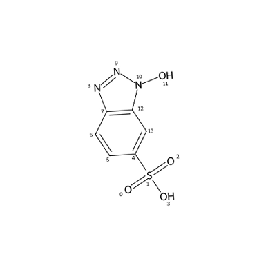 O=S(=O)(O)c1ccc2nnn(O)c2c1